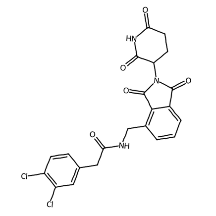 O=C(Cc1ccc(Cl)c(Cl)c1)NCc1cccc2c1C(=O)N(C1CCC(=O)NC1=O)C2=O